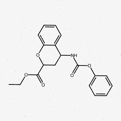 CCOC(=O)C1CC(NC(=O)Oc2ccccc2)c2ccccc2O1